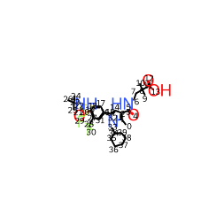 Cc1c(C(=O)NCCC(C)(C)C(=O)O)cc(-c2ccc([S+]([O-])NC(C)(C)C)c(C(F)F)c2)n1CC1CCCCC1